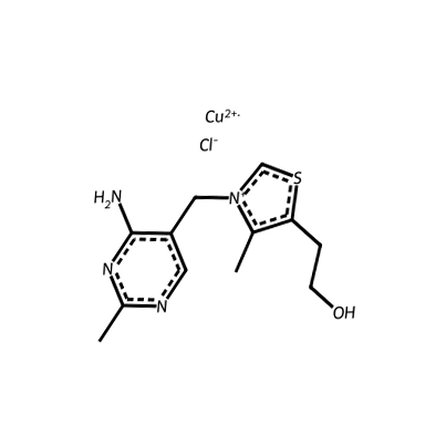 Cc1ncc(C[n+]2csc(CCO)c2C)c(N)n1.[Cl-].[Cu+2]